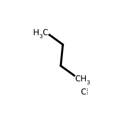 CCCC.[C]